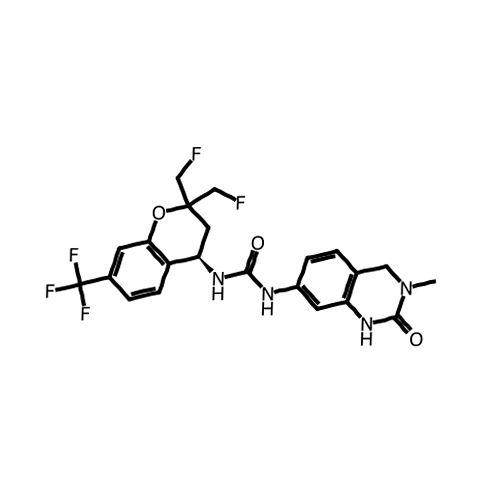 CN1Cc2ccc(NC(=O)N[C@@H]3CC(CF)(CF)Oc4cc(C(F)(F)F)ccc43)cc2NC1=O